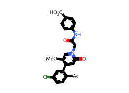 COc1cn(CC(=O)Nc2ccc(C(=O)O)cc2)c(=O)cc1-c1cc(Cl)ccc1C(C)=O